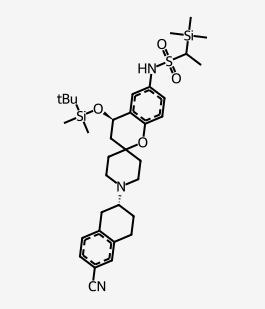 CC([Si](C)(C)C)S(=O)(=O)Nc1ccc2c(c1)[C@H](O[Si](C)(C)C(C)(C)C)CC1(CCN([C@@H]3CCc4cc(C#N)ccc4C3)CC1)O2